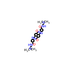 CN(C)CCNC(=O)c1ccc2nc3c4ccc5c(=O)n6c7cc(C(=O)NCCN(C)C)ccc7nc6c6ccc(c(=O)n3c2c1)c4c56